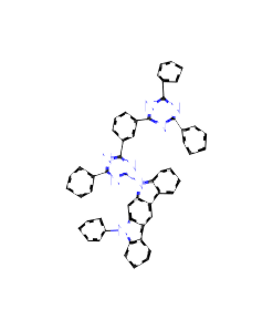 c1ccc(-c2nc(-c3ccccc3)nc(-c3cccc(-c4nc(-c5ccccc5)nc(-n5c6ccccc6c6cc7c8ccccc8n(-c8ccccc8)c7cc65)n4)c3)n2)cc1